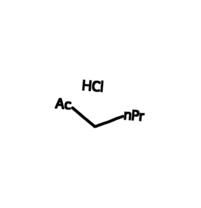 CCCCC(C)=O.Cl